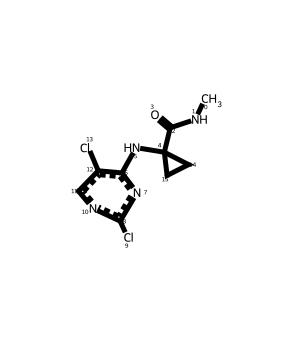 CNC(=O)C1(Nc2nc(Cl)ncc2Cl)CC1